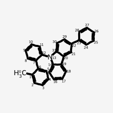 Cc1ccccc1-c1ccccc1-n1c2ccccc2c2cc(-c3ccccc3)ccc21